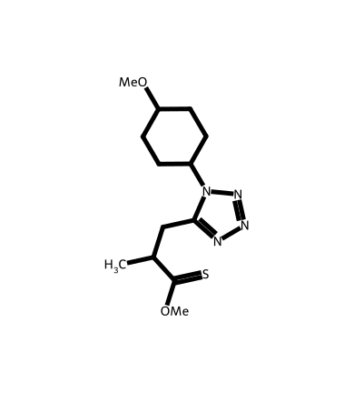 COC(=S)C(C)Cc1nnnn1C1CCC(OC)CC1